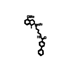 CCCN(CCCCNC(=O)c1ccc(-c2ccccc2)cc1)[C@@H]1CCc2c(OC)cccc2[C@@H]1C